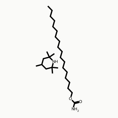 CC1CC(C)(C)NC(C)(C)C1.CCCCCCCCCCCCCCCCCCOC(N)=O